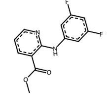 COC(=O)c1cccnc1Nc1cc(F)cc(F)c1